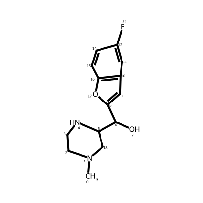 CN1CCNC(C(O)c2cc3cc(F)ccc3o2)C1